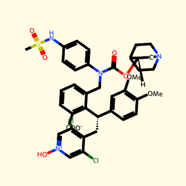 COc1ccc([C@H](Cc2c(Cl)c[n+](O)cc2Cl)c2c(CN(C(=O)O[C@H]3CN4CCC3CC4)c3ccc(NS(C)(=O)=O)cc3)cccc2C(=O)[O-])cc1OC